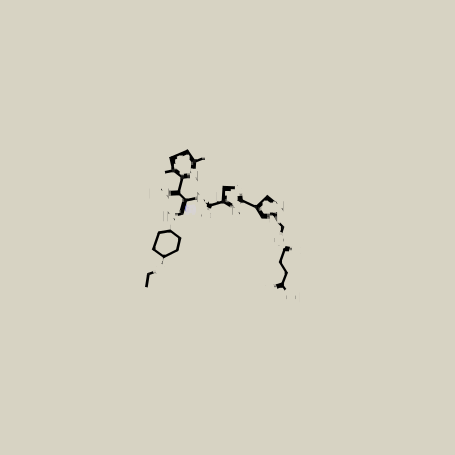 CCO[C@H]1CC[C@H](N/C=C(/NC(=O)c2csc(-c3cnn(COC(=O)CCC(=O)O)c3)n2)C(=N)c2nc(F)ccc2F)CC1